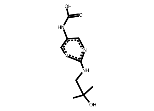 CC(C)(O)CNc1ncc(NC(=O)O)cn1